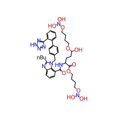 CCCCc1nc2cccc(C(=O)NC(CCC(O)OCCCCON(O)O)C(=O)OCCCCON(O)O)c2n1Cc1ccc(-c2ccccc2-c2nn[nH]n2)cc1